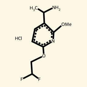 COc1nc(OCC(F)F)ccc1C(C)N.Cl